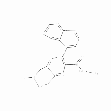 O=C(NO)c1nc2c(nc1-c1cccc3ccccc13)CN(C(=O)O)CC2